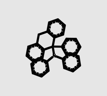 c1ccc(N(c2ccccc2)C2(c3ccccc3)c3ccccc3Cc3ccccc32)cc1